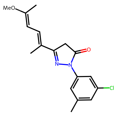 CO/C(C)=C/C=C(\C)C1=NN(c2cc(C)cc(Cl)c2)C(=O)C1